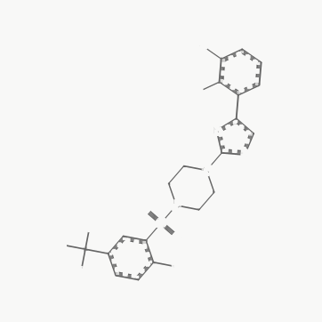 Cc1cccc(-c2csc(N3CCN(S(=O)(=O)c4cc(C(F)(F)F)ccc4Cl)CC3)n2)c1C